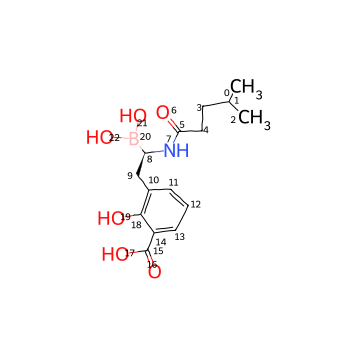 CC(C)CCC(=O)N[C@@H](Cc1cccc(C(=O)O)c1O)B(O)O